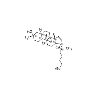 C[C@H](CCCCC(C)(C)C)[C@H]1C=C[C@H]2[C@@H]3CC[C@H]4C[C@](O)(C(F)(F)F)CC[C@]4(C)[C@H]3CC[C@]12C